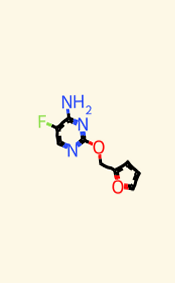 Nc1nc(OCc2ccco2)ncc1F